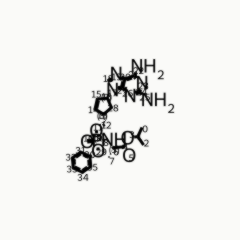 CC(C)OC(=O)[C@H](C)N[P@@](=O)(OC[C@@H]1C=C[C@H](n2cnc3c(N)nc(N)nc32)C1)Oc1ccccc1